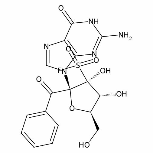 Nc1nc2c(ncn2[C@]2(C(=O)c3ccccc3)O[C@H](CO)[C@@H](O)[C@]2(O)S(=O)(=O)F)c(=O)[nH]1